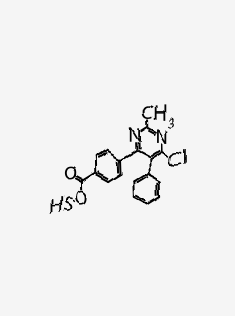 Cc1nc(Cl)c(-c2ccccc2)c(-c2ccc(C(=O)OS)cc2)n1